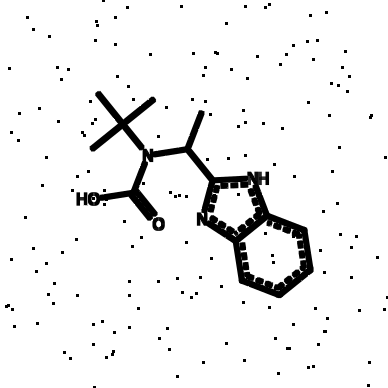 CC(c1nc2ccccc2[nH]1)N(C(=O)O)C(C)(C)C